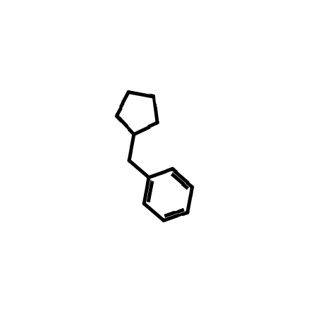 c1ccc(CC2CCCC2)cc1